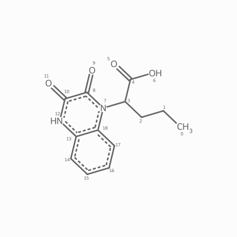 CCCC(C(=O)O)n1c(=O)c(=O)[nH]c2ccccc21